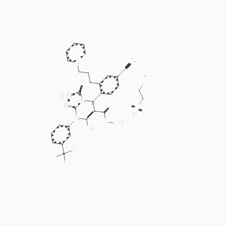 COC(=O)C1=C(C)N(c2cccc(C(F)(F)F)c2)c2n[nH]c(=O)n2C1c1ccc(C#N)cc1CCC[n+]1ccccc1.O=S(=O)([O-])CCO